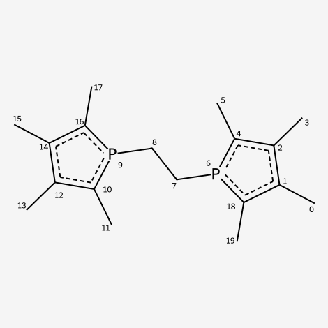 Cc1c(C)c(C)p(CCp2c(C)c(C)c(C)c2C)c1C